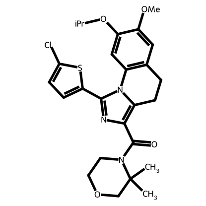 COc1cc2c(cc1OC(C)C)-n1c(-c3ccc(Cl)s3)nc(C(=O)N3CCOCC3(C)C)c1CC2